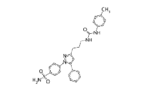 Cc1ccc(NC(=O)NCCCc2cc(-c3ccccc3)n(-c3ccc(S(N)(=O)=O)cc3)n2)cc1